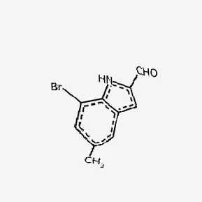 Cc1cc(Br)c2[nH]c(C=O)cc2c1